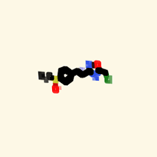 C[S+]([O-])c1ccc(/C=C/c2noc(CCl)n2)cc1